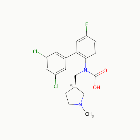 CN1CC[C@@H](CN(C(=O)O)c2ccc(F)cc2-c2cc(Cl)cc(Cl)c2)C1